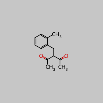 CC(=O)C(Cc1ccccc1C)C(C)=O